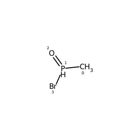 C[PH](=O)Br